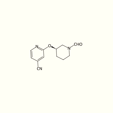 N#Cc1ccnc(O[C@@H]2CCCN(C=O)C2)c1